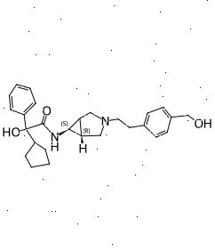 O=C(N[C@H]1C2CN(CCc3ccc(CO)cc3)C[C@@H]21)C(O)(c1ccccc1)C1CCCC1